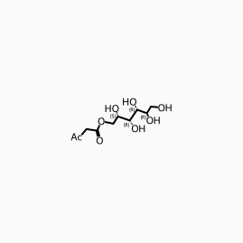 CC(=O)CC(=O)OC[C@H](O)[C@@H](O)[C@H](O)[C@H](O)CO